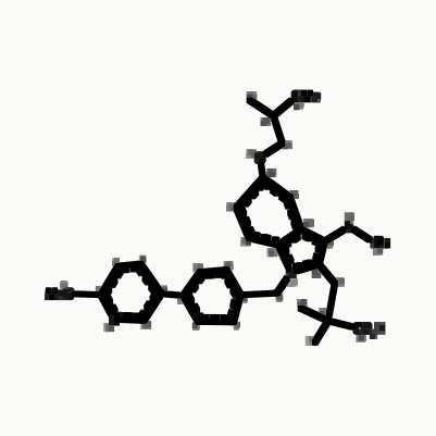 COc1ccc(-c2ccc(Cn3c(CC(C)(C)C(=O)O)c(SC(C)(C)C)c4cc(OCC(C)OC)ccc43)cc2)cn1